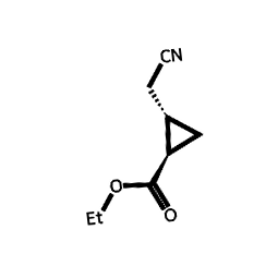 CCOC(=O)[C@@H]1C[C@H]1CC#N